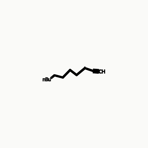 C#C[CH]CCCCCCCC